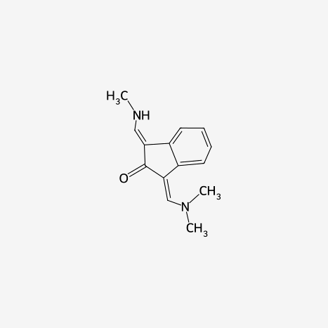 CN/C=C1/C(=O)/C(=C/N(C)C)c2ccccc21